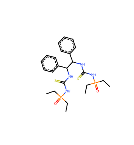 CCP(=O)(CC)NC(=S)NC(c1ccccc1)C(NC(=S)NP(=O)(CC)CC)c1ccccc1